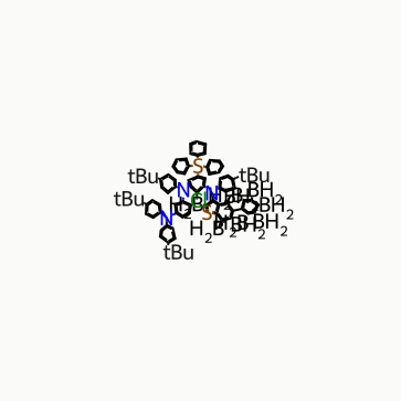 Bc1sc2c(B)c(B)c(-c3c(B)c(B)c(B)c(B)c3B)c(B)c2c1N(c1ccc(C(C)(C)C)cc1)c1cc(S(c2ccccc2)(c2ccccc2)c2ccccc2)cc(N(c2ccc(C(C)(C)C)cc2)c2cccc(N(c3ccc(C(C)(C)C)cc3)c3ccc(C(C)(C)C)cc3)c2)c1Cl